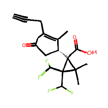 C#CCC1=C(C)[C@H](C2(C(=O)O)C(C)(C)C2(C(F)F)C(F)F)CC1=O